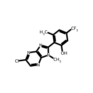 Cc1cc(C(F)(F)F)cc(O)c1-c1nc2nc(Cl)cnc2n1C